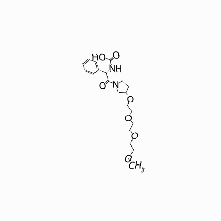 COCCOCCOCCO[C@H]1CCN(C(=O)[C@@H](NC(=O)O)c2ccccc2)C1